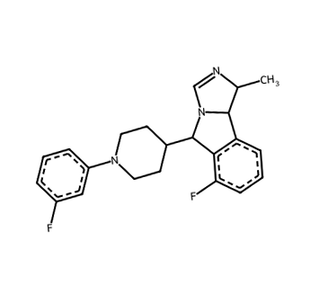 CC1N=CN2C(C3CCN(c4cccc(F)c4)CC3)c3c(F)cccc3C12